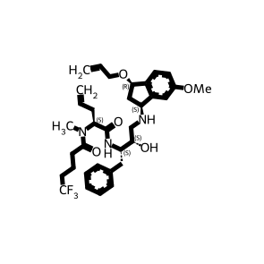 C=CCO[C@@H]1C[C@H](NC[C@H](O)[C@H](Cc2ccccc2)NC(=O)[C@H](CC=C)N(C)C(=O)CCCC(F)(F)F)c2cc(OC)ccc21